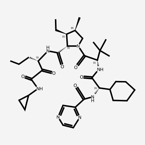 CCC[C@H](NC(=O)[C@@H]1[C@@H](CC)[C@@H](C)CN1C(=O)[C@@H](NC(=O)[C@@H](NC(=O)c1cnccn1)C1CCCCC1)C(C)(C)C)C(=O)C(=O)NC1CC1